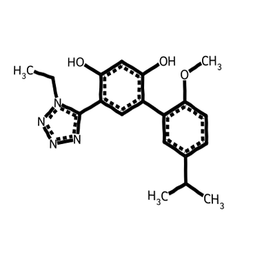 CCn1nnnc1-c1cc(-c2cc(C(C)C)ccc2OC)c(O)cc1O